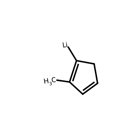 [Li][C]1=C(C)C=CC1